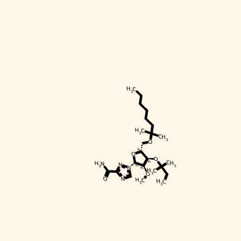 CCCCCCC(C)(C)OC[C@H]1O[C@@H](n2cnc(C(N)=O)n2)[C@H](OC)[C@@H]1OC(C)(C)CC